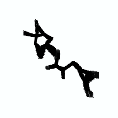 CCC1OC1CC(C)C(=O)OC1CCC2(C)OC2C1